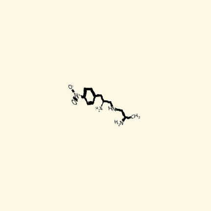 CC(N)CNC[C@@H](N)Cc1ccc([N+](=O)[O-])cc1